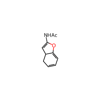 CC(=O)NC1=CC2CC=CC=C2O1